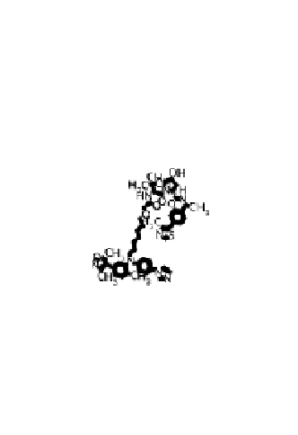 Cc1ccc(-c2c(C)noc2C)cc1N(CCCCCCCOCC(=O)NC(C(=O)N1C[C@H](O)C[C@H]1C(=O)NC(C)c1ccc(-c2scnc2C)cc1)C(C)(C)C)c1ccc(-n2ccnc2)cc1